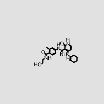 Cc1cc(NC(=N)c2c(NC3CCCCC3)cc[nH]c2=O)ccc1C(=O)NCCO